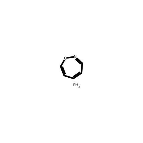 C1=CC=NOC=C1.P